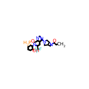 C=CC(=O)N1CC2CN(c3ncnc4c(=O)n(-c5c(O)cccc5P)c(C(F)(F)F)cc34)CC21